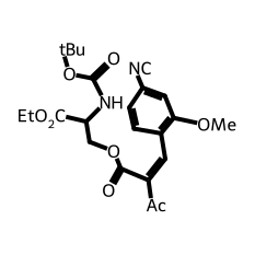 CCOC(=O)C(COC(=O)C(=Cc1ccc(C#N)cc1OC)C(C)=O)NC(=O)OC(C)(C)C